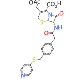 CC(=O)OCC1=C(C(=O)O)N2C(=O)C(NC(=O)Cc3ccc(CSc4ccncc4)cc3)C2SC1